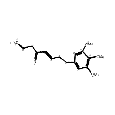 COc1cc(CCC=CC(=O)CCC(=O)O)cc(OC)c1OC